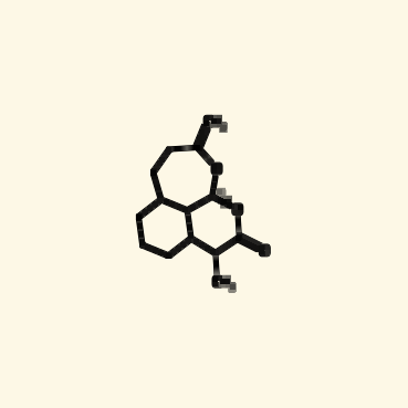 C=C1CCC2CCCC3C(C)C(=O)O[C@H](O1)C23